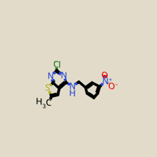 Cc1cc2c(NCc3cccc([N+](=O)[O-])c3)nc(Cl)nc2s1